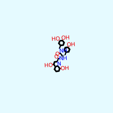 O=C(N[C@@H](Cc1ccc(O)cc1)C(=O)NCc1ccc(O)c(O)c1)c1cc(O)c2cccc(O)c2n1